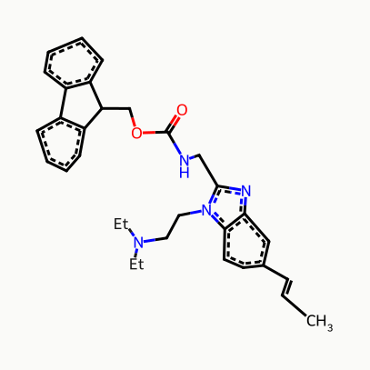 C/C=C/c1ccc2c(c1)nc(CNC(=O)OCC1c3ccccc3-c3ccccc31)n2CCN(CC)CC